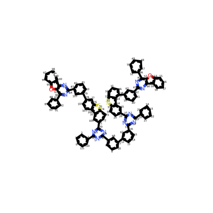 c1ccc(-c2nc(-c3cccc(-c4cccc(-c5nc(-c6ccccc6)nc(-c6ccc7sc8cccc(-c9cccc(-c%10nc(-c%11ccccc%11)c%11oc%12ccccc%12c%11n%10)c9)c8c7c6)n5)c4)c3)nc(-c3ccc4sc5cc(-c6cccc(-c7nc(-c8ccccc8)c8oc9ccccc9c8n7)c6)ccc5c4c3)n2)cc1